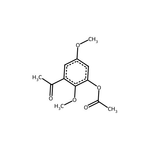 COc1cc(OC(C)=O)c(OC)c(C(C)=O)c1